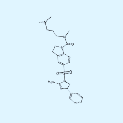 CN(C)CCCN(C)C(=O)N1CCc2cc(S(=O)(=O)N3C[C@H](c4ccccc4)N=C3N)ccc21